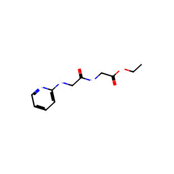 CCOC(=O)CNC(=O)CNc1ccccn1